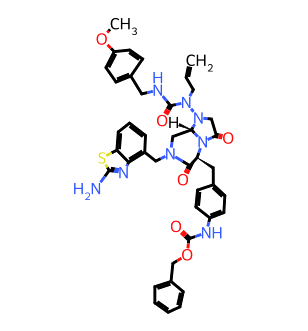 C=CCN(C(=O)NCc1ccc(OC)cc1)N1CC(=O)N2[C@@H](Cc3ccc(NC(=O)OCc4ccccc4)cc3)C(=O)N(Cc3cccc4sc(N)nc34)C[C@@H]21